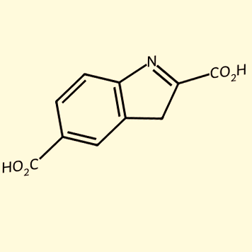 O=C(O)C1=Nc2ccc(C(=O)O)cc2C1